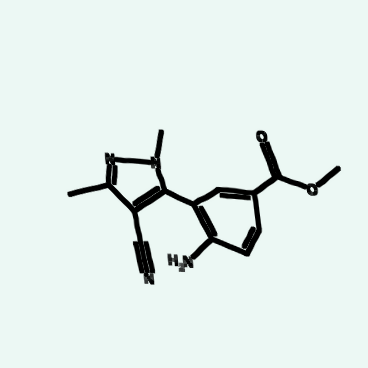 COC(=O)c1ccc(N)c(-c2c(C#N)c(C)nn2C)c1